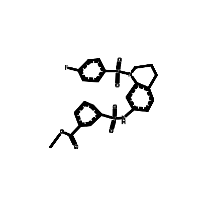 COC(=O)c1cccc(S(=O)(=O)Nc2ccc3c(c2)N(S(=O)(=O)c2ccc(F)cc2)CCC3)c1